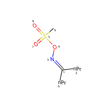 CCCC(CCC)=NOS(C)(=O)=O